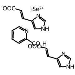 O=C(O)c1ccccn1.O=C([O-])C=Cc1c[nH]cn1.O=C([O-])C=Cc1c[nH]cn1.[Se+2]